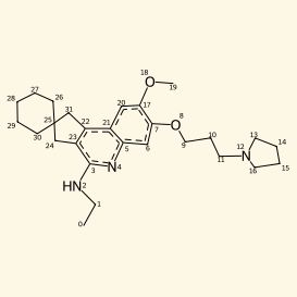 CCNc1nc2cc(OCCCN3CCCC3)c(OC)cc2c2c1CC1(CCCCC1)C2